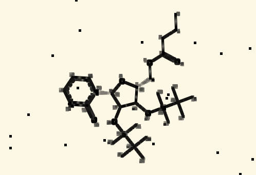 CCCC(=O)OC[C@H]1O[C@@H](n2cccnc2=O)C(O[Si](C)(C)C(C)(C)C)C1O[Si](C)(C)C(C)(C)C